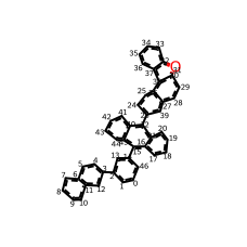 c1cc(-c2ccc3ccccc3c2)cc(-c2c3ccccc3c(-c3ccc4c(ccc5oc6ccccc6c54)c3)c3ccccc23)c1